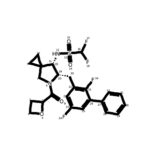 O=C(C1CCO1)N1CC2(CC2)[C@H](NS(=O)(=O)C(F)F)[C@@H]1Cc1cc(F)cc(-c2ccccc2)c1F